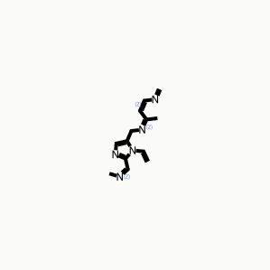 C=Cn1c(C/N=C(C)\C=C/N=C)cnc1/C=N\C